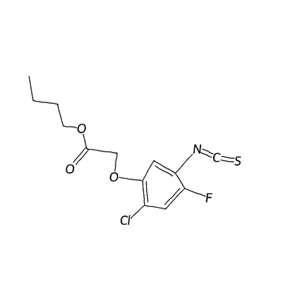 CCCCOC(=O)COc1cc(N=C=S)c(F)cc1Cl